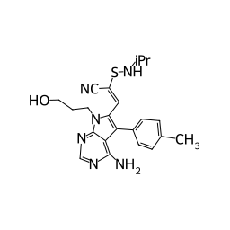 Cc1ccc(-c2c(/C=C(\C#N)SNC(C)C)n(CCCO)c3ncnc(N)c23)cc1